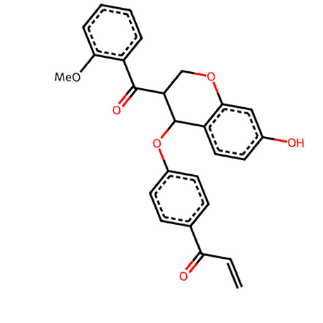 C=CC(=O)c1ccc(OC2c3ccc(O)cc3OCC2C(=O)c2ccccc2OC)cc1